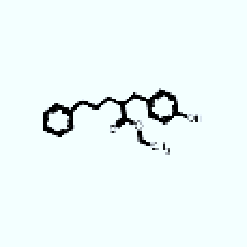 CCOC(=O)C(CCCc1ccccc1)Cc1ccc(O)cc1